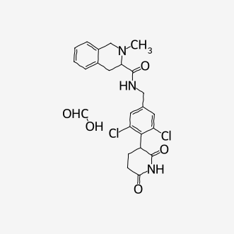 CN1Cc2ccccc2CC1C(=O)NCc1cc(Cl)c(C2CCC(=O)NC2=O)c(Cl)c1.O=CO